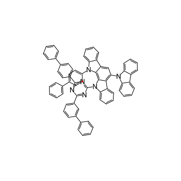 c1ccc(-c2ccc(-c3nc(-c4cccc(-c5ccccc5)c4)nc(-n4c5ccccc5c5c(-n6c7ccccc7c7ccccc76)cc6c7ccccc7n(-c7ccc(-c8ccccc8)cc7)c6c54)n3)cc2)cc1